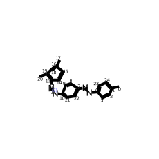 Cc1ccc(N=Nc2ccc(/N=N\c3ccc(C)cc3C)cc2)cc1